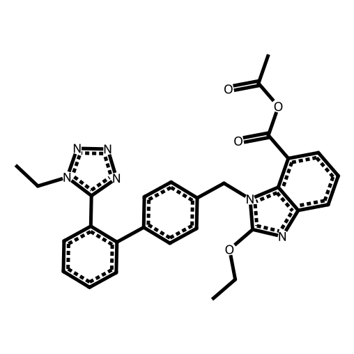 CCOc1nc2cccc(C(=O)OC(C)=O)c2n1Cc1ccc(-c2ccccc2-c2nnnn2CC)cc1